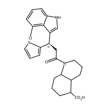 O=C(O)C1CCCC2C1CCCN2C(=O)C[C@@H](c1cccs1)c1c[nH]c2cccc(Cl)c12